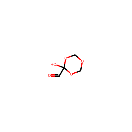 O=CC1(O)OCOCO1